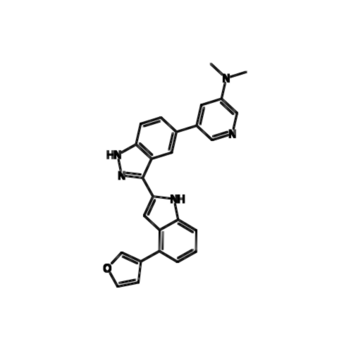 CN(C)c1cncc(-c2ccc3[nH]nc(-c4cc5c(-c6ccoc6)cccc5[nH]4)c3c2)c1